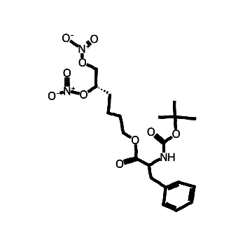 CC(C)(C)OC(=O)NC(Cc1ccccc1)C(=O)OCCCC[C@@H](CO[N+](=O)[O-])O[N+](=O)[O-]